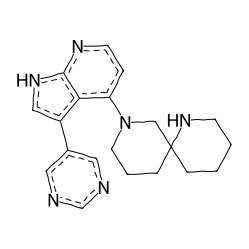 c1ncc(-c2c[nH]c3nccc(N4CCCC5(CCCCN5)C4)c23)cn1